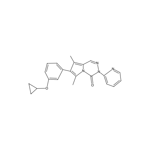 Cc1c(-c2cccc(OC3CC3)c2)c(C)n2c(=O)n(-c3ccccn3)ncc12